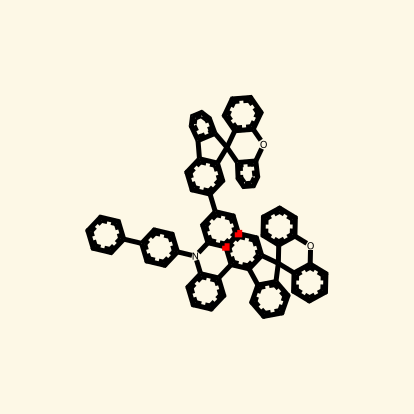 c1ccc(-c2ccc(N(c3cccc(-c4ccc5c(c4)C4(c6ccccc6Oc6ccccc64)c4ccccc4-5)c3)c3ccccc3-c3cccc4c3-c3ccccc3C43c4ccccc4Oc4ccccc43)cc2)cc1